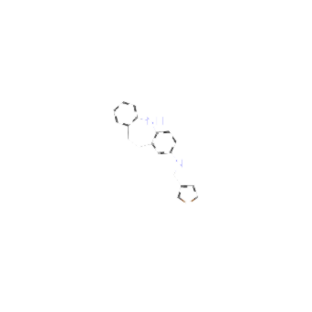 c1ccc2c(c1)CCc1cc(NCc3ccsc3)ccc1N2